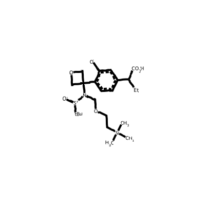 CCC(C(=O)O)c1ccc(C2(N(COCC[Si](C)(C)C)[S+]([O-])C(C)(C)C)COC2)c(Cl)c1